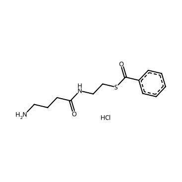 Cl.NCCCC(=O)NCCSC(=O)c1ccccc1